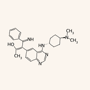 C/C(O)=C(/C(=N)c1ccccc1)c1ccc2ncnc(N[C@H]3CC[C@H](N(C)C)CC3)c2c1